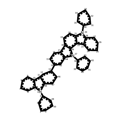 c1ccc(-n2c3ccccc3c3cc(-c4ccc5c6ccc7c(c8ccccc8n7-c7ccccc7)c6n(-c6ccccc6)c5c4)ccc32)cc1